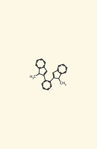 CC1C(c2ccccc2C2=Cc3ccccc3C2C)=Cc2ccccc21